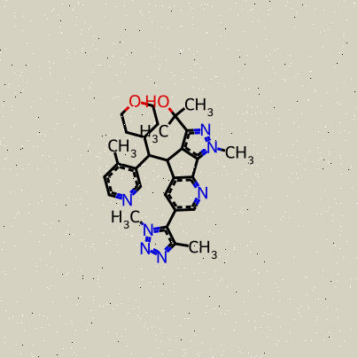 Cc1ccncc1C(C1CCOCC1)C1c2cc(-c3c(C)nnn3C)cnc2-c2c1c(C(C)(C)O)nn2C